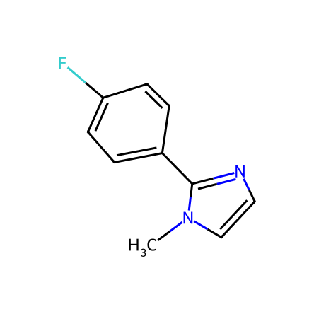 Cn1ccnc1-c1ccc(F)cc1